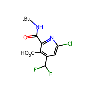 CC(C)(C)NC(=O)c1nc(Cl)cc(C(F)F)c1C(=O)O